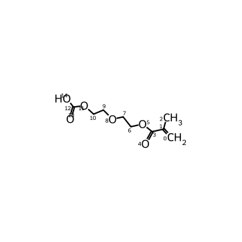 C=C(C)C(=O)OCCOCCOC(=O)O